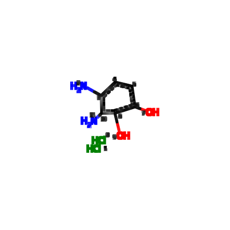 Cl.Cl.Nc1ccc(O)c(O)c1N